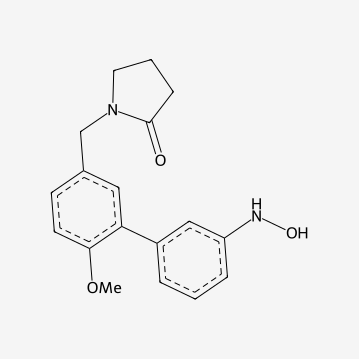 COc1ccc(CN2CCCC2=O)cc1-c1cccc(NO)c1